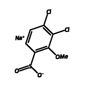 COc1c(S(=O)[O-])ccc(Cl)c1Cl.[Na+]